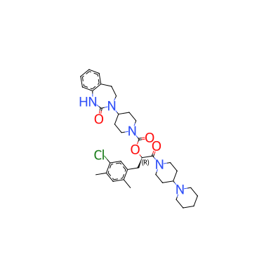 Cc1cc(C)c(C[C@@H](OC(=O)N2CCC(N3CCc4ccccc4NC3=O)CC2)C(=O)N2CCC(N3CCCCC3)CC2)cc1Cl